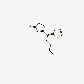 C=C1C=C(C(CCCC)=C2CC=CS2)CC1